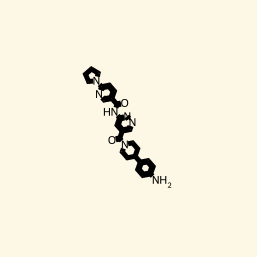 Nc1ccc(C2CCN(C(=O)c3cnnc(NC(=O)c4ccc(N5CCCC5)nc4)c3)CC2)cc1